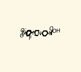 CN(C(=O)O)[C@H]1CC[C@H](N2CCN(c3ccc([N+](=O)[O-])cc3F)CC2)CC1